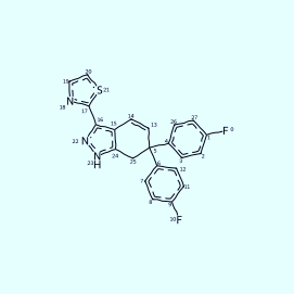 Fc1ccc(C2(c3ccc(F)cc3)C=Cc3c(-c4nccs4)n[nH]c3C2)cc1